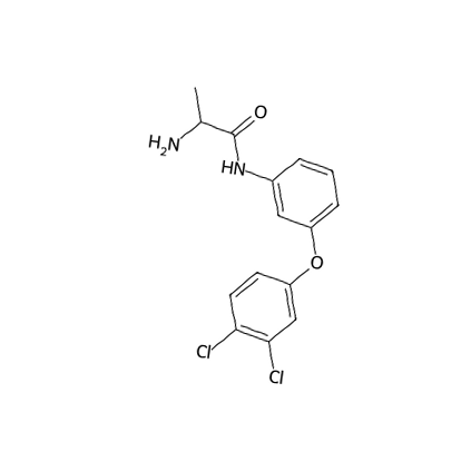 CC(N)C(=O)Nc1cccc(Oc2ccc(Cl)c(Cl)c2)c1